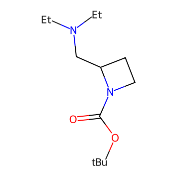 CCN(CC)CC1CCN1C(=O)OC(C)(C)C